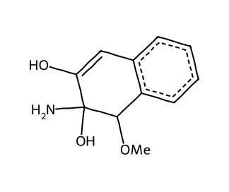 COC1c2ccccc2C=C(O)C1(N)O